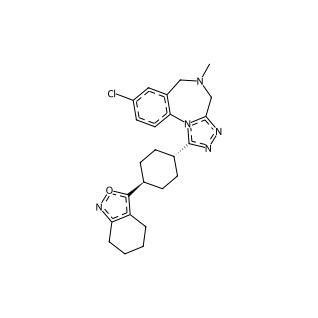 CN1Cc2cc(Cl)ccc2-n2c(nnc2[C@H]2CC[C@H](c3onc4c3CCCC4)CC2)C1